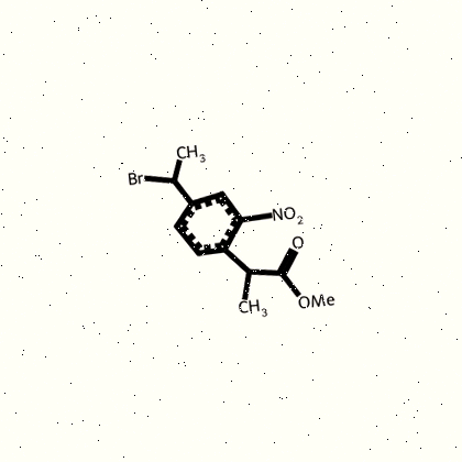 COC(=O)C(C)c1ccc(C(C)Br)cc1[N+](=O)[O-]